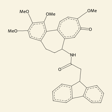 COc1cc2c(c(OC)c1OC)-c1ccc(OC)c(=O)cc1C(NC(=O)CC1c3ccccc3-c3ccccc31)CC2